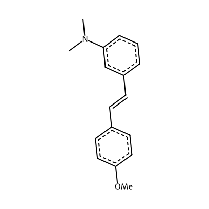 COc1ccc(/C=C/c2cccc(N(C)C)c2)cc1